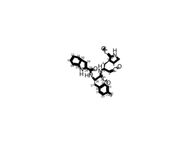 O=C=C[C@H](C[C@@H]1CCNC1=C=O)NC(=C=O)[C@H](Cc1ccc(F)cc1)NC(=O)c1cc2ccccc2[nH]1